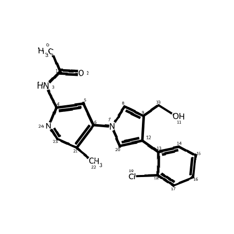 CC(=O)Nc1cc(-n2cc(CO)c(-c3ccccc3Cl)c2)c(C)cn1